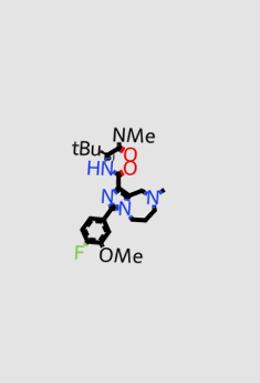 CNC(=O)[C@@H](NC(=O)c1nc(-c2ccc(F)c(OC)c2)n2c1CN(C)CCC2)C(C)(C)C